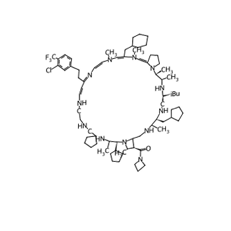 CC[C@H](C)[C@H]1CN[C@@H](CC2CCCC2)C(C)NCC2[C@@H](C(=O)N3CCC3)C(C)N2[C@@H](C2CCCC2)C(C)NC2(CCCC2)CNCCNC=CC(CCc2ccc(C(F)(F)F)c(Cl)c2)=NC=CN(C)C=C(CC2CCCCC2)N(C)C=C2CCCN2[C@@H](C)C(C)N1